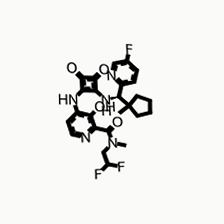 CN(CC(F)F)C(=O)c1nccc(Nc2c(N[C@@H](c3ccc(F)cn3)C3(C)CCCC3)c(=O)c2=O)c1O